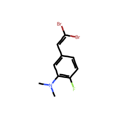 CN(C)c1cc(C=C(Br)Br)ccc1F